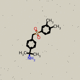 Cc1ccc(S(=O)(=O)Cc2ccc(C(C)(C)N)cc2)cc1C